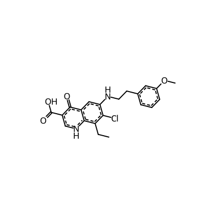 CCc1c(Cl)c(NCCc2cccc(OC)c2)cc2c(=O)c(C(=O)O)c[nH]c12